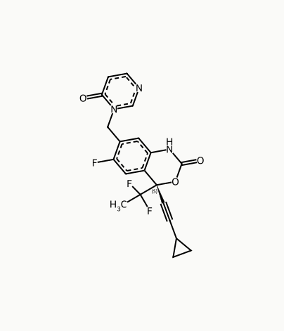 CC(F)(F)[C@@]1(C#CC2CC2)OC(=O)Nc2cc(Cn3cnccc3=O)c(F)cc21